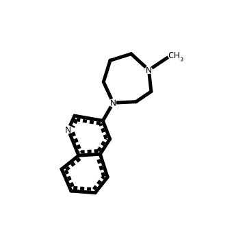 CN1CCCN(c2cnc3ccccc3c2)CC1